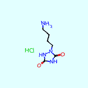 Cl.NCCCCn1[nH]c(=O)[nH]c1=O